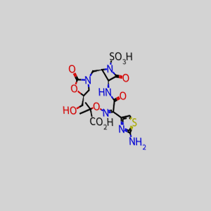 CC(C)(ON=C(C(=O)N[C@@H]1C(=O)N(S(=O)(=O)O)[C@@H]1CN1C[C@@H](CO)OC1=O)c1csc(N)n1)C(=O)O